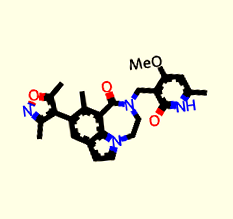 COc1cc(C)[nH]c(=O)c1CN1CCn2ccc3cc(-c4c(C)noc4C)c(C)c(c32)C1=O